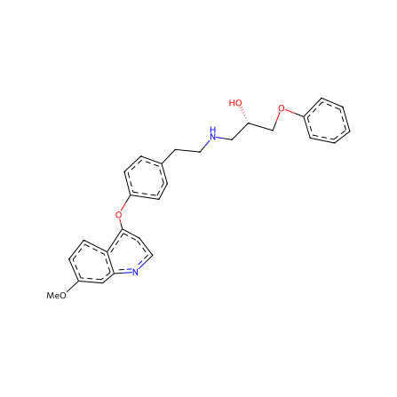 COc1ccc2c(Oc3ccc(CCNC[C@H](O)COc4ccccc4)cc3)ccnc2c1